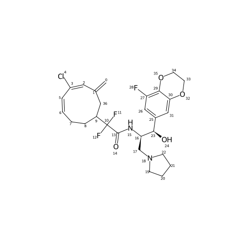 C=C1/C=C(Cl)\C=C/CCC(C(F)(F)C(=O)N[C@H](CN2CCCC2)[C@H](O)c2cc(F)c3c(c2)OCCO3)C1